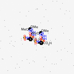 COc1cc(OC)nc(NC(=O)NS(=O)(=O)c2cc(CNS(C)(=O)=O)ccc2C(=O)O)n1.COc1cc(OC)nc(NC(=O)NS(=O)(=O)c2cc(CNS(C)(=O)=O)ccc2C(=O)O)n1